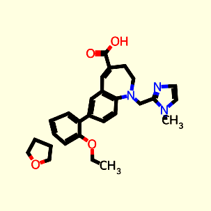 C1CCOC1.CCOc1ccccc1-c1ccc2c(c1)C=C(C(=O)O)CCN2Cc1nccn1C